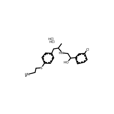 CNCCSc1ccc(CC(C)NCC(O)c2cccc(Cl)c2)cc1.Cl.Cl